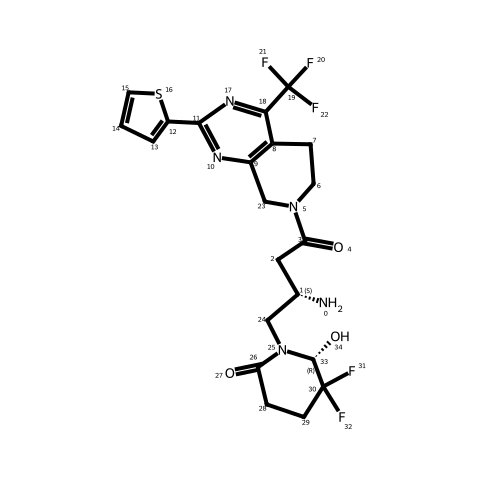 N[C@@H](CC(=O)N1CCc2c(nc(-c3cccs3)nc2C(F)(F)F)C1)CN1C(=O)CCC(F)(F)[C@H]1O